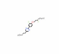 CCCCCCCCCCCCc1cnc(-c2ccc(OCCC(F)CCCCC)c(F)c2)nc1